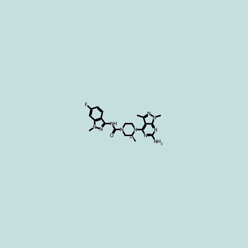 Cc1nn(C)c2nc(N)nc(N3CCN(C(=O)Nc4nn(C)c5cc(F)ccc45)C[C@@H]3C)c12